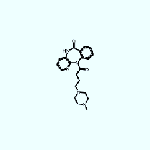 CN1CCN(CCCC(=O)N2c3ccccc3C(=O)Nc3cccnc32)CC1